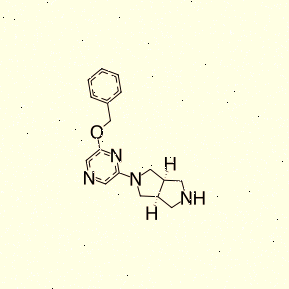 c1ccc(COc2cncc(N3C[C@H]4CNC[C@H]4C3)n2)cc1